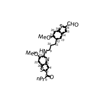 CCCC(=O)c1cc2nc(NCCCc3cc4cc(C=O)sc4cc3OC)c(OC)cc2s1